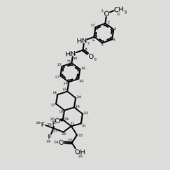 COc1cccc(NC(=O)Nc2ccc(C3CCC4C(=O)C(CC(=O)O)(CC(F)(F)F)CCC4C3)cc2)c1